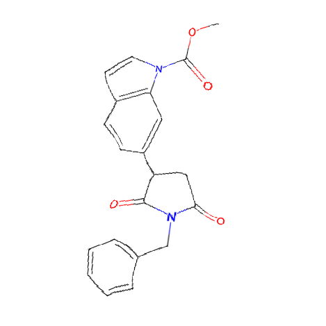 COC(=O)n1ccc2ccc(C3CC(=O)N(Cc4ccccc4)C3=O)cc21